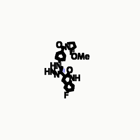 COC[C@@H]1CCCN1C(=O)c1ccc(N/C=C(\N=N)c2cc3cc(F)ccc3[nH]c2=O)cc1